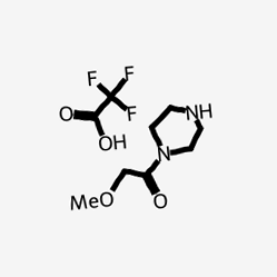 COCC(=O)N1CCNCC1.O=C(O)C(F)(F)F